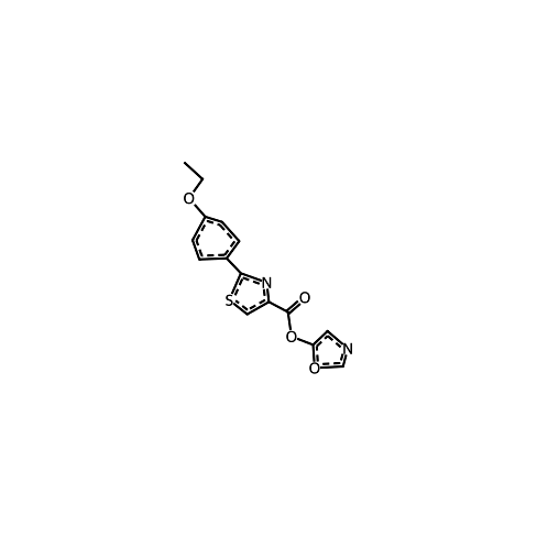 CCOc1ccc(-c2nc(C(=O)Oc3cnco3)cs2)cc1